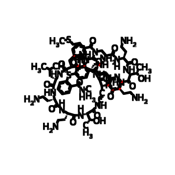 CNC(=O)c1ccccc1Sc1ccc(C(=N)/C=C/c2ccccn2)c(NC(=O)N(CCC(=O)N[C@@H](CCN)C(=O)N[C@H](C(=O)N[C@@H](CCN)C(=O)N[C@H]2CCNC(=O)[C@H]([C@@H](C)O)NC(=O)[C@H](CCN)NC(=O)[C@H](CCN)NC(=O)[C@H](CC(C)C)NC(=O)[C@@H](Cc3ccccc3)NC(=O)[C@H](CCN)NC2=O)[C@@H](C)O)C(=O)[C@H](CCSC)NC=O)c1